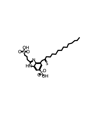 CCCCCCCCCCCCCC(=S)Cc1cc(S(=O)(=O)O)cc2[nH]c(CCCS(=O)(=O)O)nc12